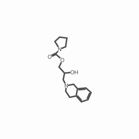 O=C(OCC(O)CN1CCc2ccccc2C1)N1CCCC1